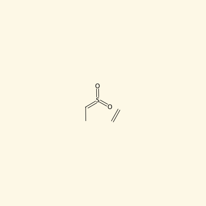 C=C.CC=S(=O)=O